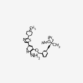 COC(C)(C#Cc1cccc(COc2cc(-c3cnc(C4CCN(C)CC4)s3)cnc2N)c1)CC(C)C